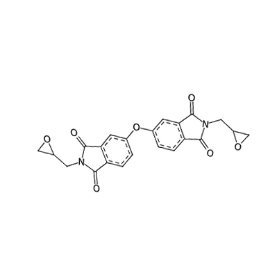 O=C1c2ccc(Oc3ccc4c(c3)C(=O)N(CC3CO3)C4=O)cc2C(=O)N1CC1CO1